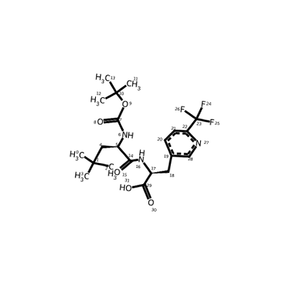 CC(C)(C)C[C@@H](NC(=O)OC(C)(C)C)C(=O)N[C@@H](Cc1ccc(C(F)(F)F)nc1)C(=O)O